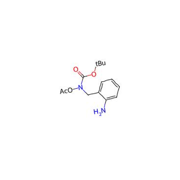 CC(=O)ON(Cc1ccccc1N)C(=O)OC(C)(C)C